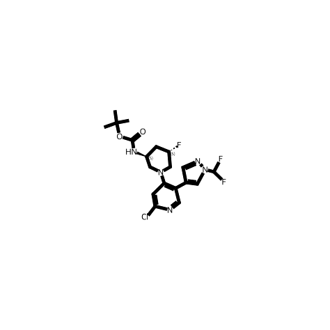 CC(C)(C)OC(=O)N[C@H]1C[C@H](F)CN(c2cc(Cl)ncc2-c2cnn(C(F)F)c2)C1